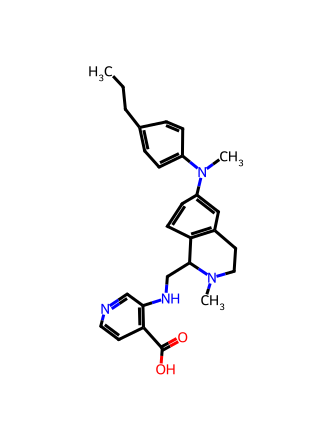 CCCc1ccc(N(C)c2ccc3c(c2)CCN(C)C3CNc2cnccc2C(=O)O)cc1